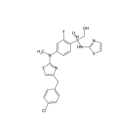 CN(c1ccc([SH](=O)(CO)Nc2nccs2)c(F)c1)c1nc(Cc2ccc(Cl)cc2)cs1